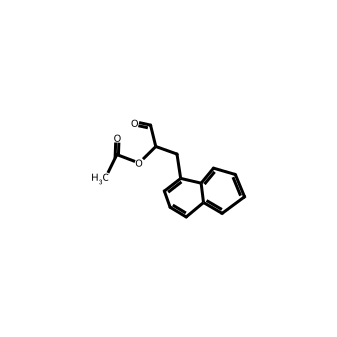 CC(=O)OC(C=O)Cc1cccc2ccccc12